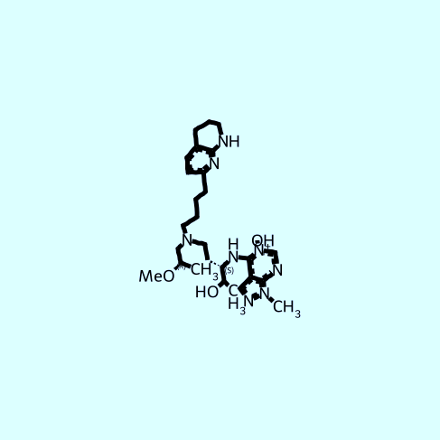 CO[C@H](C)CN(CCCCc1ccc2c(n1)NCCC2)CC[C@H](Nc1c2cnn(C)c2nc[n+]1O)C(C)O